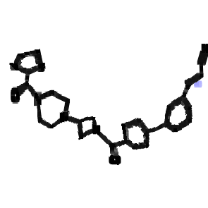 N#C/C=C/c1cccc(-c2ccc(C(=O)N3CC(N4CCN(C(=O)c5nccs5)CC4)C3)cc2)c1